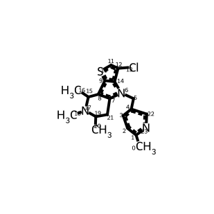 Cc1ccc(Cn2c3c(c4scc(Cl)c42)C(C)N(C)C(C)C3)cn1